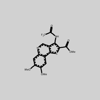 COC(=O)c1sc2c(cnc3cc(OC)c(OC)cc32)c1NC(=O)C(F)(F)F